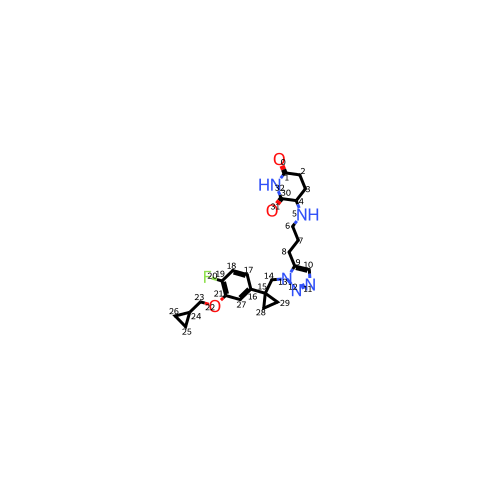 O=C1CCC(NCCCc2cnnn2CC2(c3ccc(F)c(OCC4CC4)c3)CC2)C(=O)N1